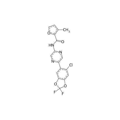 Cc1ccoc1C(=O)Nc1cnc(-c2cc3c(cc2Cl)OC(F)(F)O3)cn1